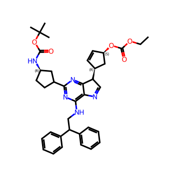 CCOC(=O)O[C@@H]1C=C[C@H](C2C=Nc3c(NCC(c4ccccc4)c4ccccc4)nc(C4CC[C@@H](NC(=O)OC(C)(C)C)C4)nc32)C1